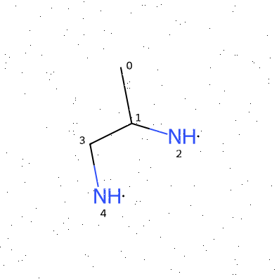 CC([NH])C[NH]